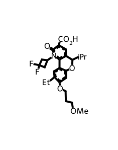 CCc1cc2c(cc1OCCCOC)OC(C(C)C)c1cc(C(=O)O)c(=O)n(C3CC(F)(F)C3)c1-2